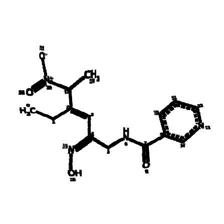 CC/C(=C\C(CNC(=O)c1cccnc1)=N\O)C(C)[N+](=O)[O-]